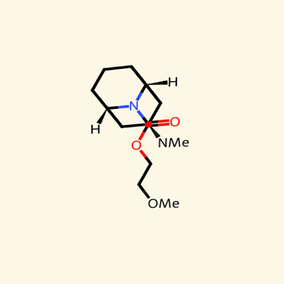 CN[C@@H]1C[C@H]2CCC[C@@H](C1)N2C(=O)OCCOC